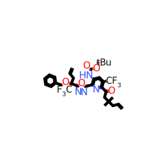 C=CCC(C)(C)CC(=O)c1nc(-c2nnc(C(CC=C)(OCc3ccccc3)C(F)(F)F)o2)c(NC(=O)OC(C)(C)C)cc1C(F)(F)F